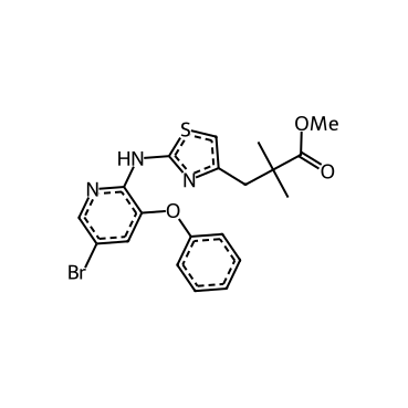 COC(=O)C(C)(C)Cc1csc(Nc2ncc(Br)cc2Oc2ccccc2)n1